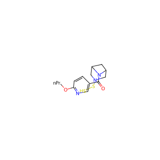 CCCOc1ccc(C(=O)N2C3CC2CN(SS)C3)cn1